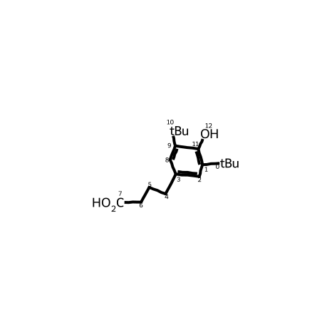 CC(C)(C)c1cc(CCCC(=O)O)cc(C(C)(C)C)c1O